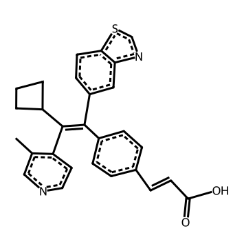 Cc1cnccc1/C(=C(\c1ccc(/C=C/C(=O)O)cc1)c1ccc2scnc2c1)C1CCC1